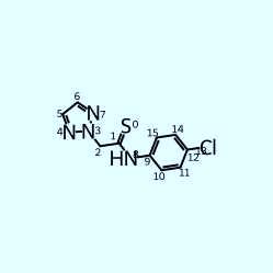 S=C(Cn1nccn1)Nc1ccc(Cl)cc1